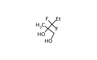 CCC(F)(F)C(C)(O)CO